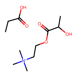 CC(O)C(=O)OCC[N+](C)(C)C.CCC(=O)O